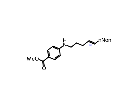 CCCCCCCCC/C=C/CCCNc1ccc(C(=O)OC)cc1